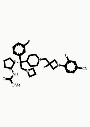 COC(=O)N[C@H]1CCC[C@@H]1C(CN1CCC1)(c1cccc(F)c1)C1CCN(CC2(F)CN(c3ccc(C#N)cc3F)C2)CC1